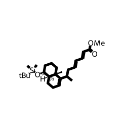 COC(=O)C=CC=CCC(C)C1=CCC[C@H]2[C@@H](O[Si](C)(C)C(C)(C)C)CCC[C@]12C